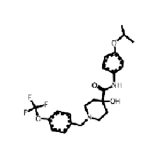 CC(C)Oc1ccc(NC(=O)C2(O)CCN(Cc3ccc(OC(F)(F)F)cc3)CC2)cc1